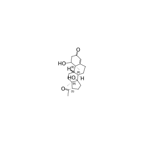 CC(=O)[C@H]1CCC2(O)[C@@H]3CCC4=CC(=O)CC(O)[C@]4(C)[C@H]3CC[C@]12C